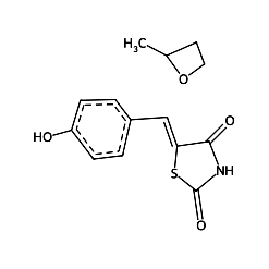 CC1CCO1.O=C1NC(=O)C(=Cc2ccc(O)cc2)S1